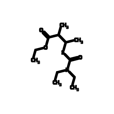 CCOC(=O)C(C)C(C)SC(=O)N(CC)CC